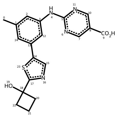 Cc1cc(Nc2ncc(C(=O)O)cn2)cc(-c2cnc(C3(O)CCC3)s2)c1